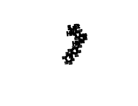 CCn1c(=S)[nH]c2cc3c(NCc4ccc(N5CCCCC5)cc4)ncnc3cc21